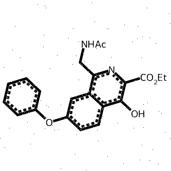 CCOC(=O)c1nc(CNC(C)=O)c2cc(Oc3ccccc3)ccc2c1O